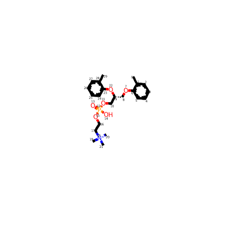 Cc1ccccc1OC[C@H](COP(=O)(O)OCC[N+](C)(C)C)Oc1ccccc1C